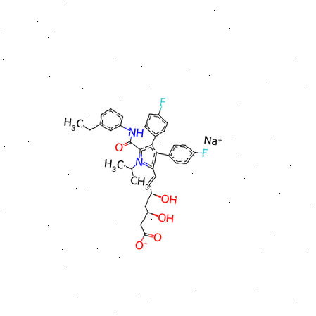 CCc1cccc(NC(=O)c2c(-c3ccc(F)cc3)c(-c3ccc(F)cc3)c(C=C[C@@H](O)C[C@@H](O)CC(=O)[O-])n2C(C)C)c1.[Na+]